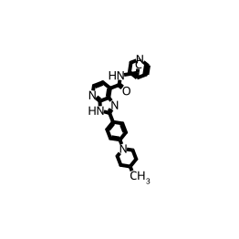 CC1CCN(c2ccc(-c3nc4c(C(=O)NC5CN6C#CC5CC6)ccnc4[nH]3)cc2)CC1